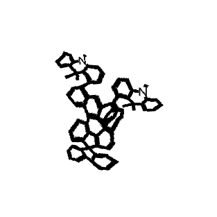 CN1c2ccccc2C(C)(C)c2c(-c3cccc4c(-c5cccc6c5-c5c(ccc7ccccc57)C65c6ccccc6-c6ccccc65)c5cccc(-c6cccc7c6C(C)(C)c6ccccc6N7C)c5cc34)cccc21